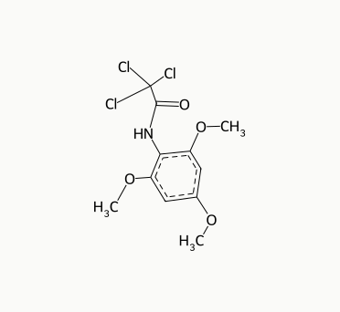 COc1cc(OC)c(NC(=O)C(Cl)(Cl)Cl)c(OC)c1